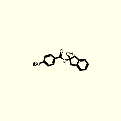 CCC(C)c1ccc(C(=O)OC2(C)Cc3ccccc3C2)cc1